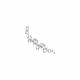 Cc1cccc(-c2nccc(Nc3ccnc(Nc4ccc(C5=CCNC5)cc4)n3)n2)n1